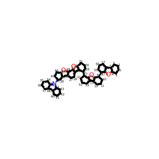 c1ccc2c(c1)oc1c(-c3cccc4c3oc3c(-c5cccc6oc7c(ccc8c9cc(-n%10c%11ccccc%11c%11ccccc%11%10)ccc9oc87)c56)cccc34)cccc12